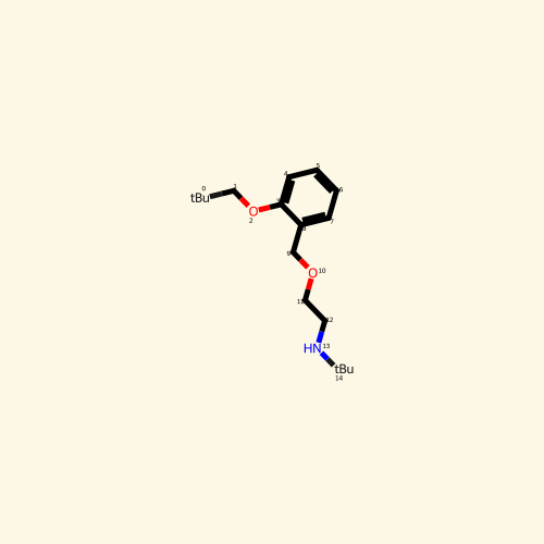 CC(C)(C)COc1ccccc1COCCNC(C)(C)C